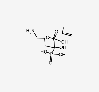 C=CC.NCCCC(O)(P(=O)(O)O)P(=O)(O)O